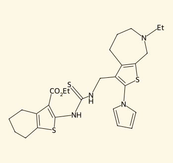 CCOC(=O)c1c(NC(=S)NCc2c(-n3cccc3)sc3c2CCCN(CC)C3)sc2c1CCCC2